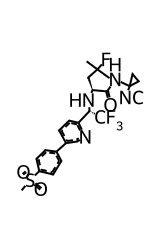 CC(C)(F)C[C@H](N[C@@H](c1ccc(-c2ccc(S(C)(=O)=O)cc2)cn1)C(F)(F)F)C(=O)NC1(C#N)CC1